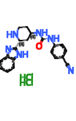 Cl.Cl.N#Cc1ccc(NC(=O)N[C@@H]2CCN[C@@H](c3nc4ccccc4[nH]3)C2)cc1